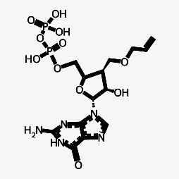 C=CCOC[C@@H]1C(COP(=O)(O)OP(=O)(O)O)O[C@@H](n2cnc3c(=O)[nH]c(N)nc32)[C@@H]1O